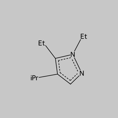 CCc1c(C(C)C)cnn1CC